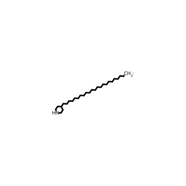 [CH2]CCCCCCCCCCCCCCCCCCCCCCC1CCNCC1